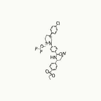 CCS(=O)(=O)c1ccc(C(CC#N)NC(=O)c2ccc(N3C[C@H](c4ccc(Cl)cc4)CC[C@H]3COC(F)F)cc2)cc1